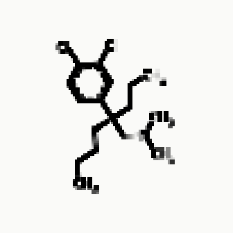 CCCC[C@@](CCC)(CN(C)C)c1ccc(Cl)c(Cl)c1